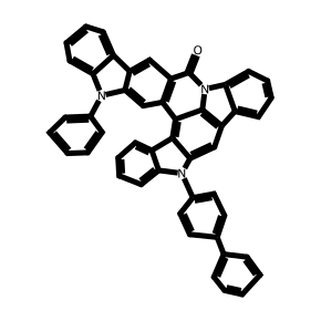 O=c1c2cc3c4ccccc4n(-c4ccccc4)c3cc2c2c3c4ccccc4n(-c4ccc(-c5ccccc5)cc4)c3cc3c4ccccc4n1c32